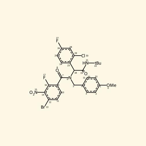 COc1ccc(CN(C(=O)c2ccc(Br)c([N+](=O)[O-])c2F)C(C(=O)NC(C)(C)C)c2ccc(F)cc2Cl)cc1